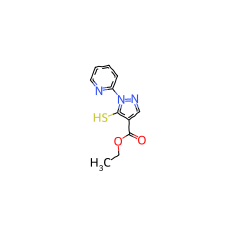 CCOC(=O)c1cnn(-c2ccccn2)c1S